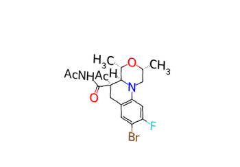 CC(=O)NC(=O)[C@]1(C(C)=O)Cc2cc(Br)c(F)cc2N2C[C@@H](C)O[C@@H](C)[C@@H]21